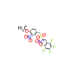 COc1ccc(CS(=O)(=O)/C(=C/c2c(F)c(F)c(F)c(F)c2F)[N+](=O)[O-])cc1[N+](=O)[O-]